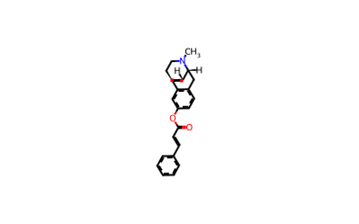 CN1CC[C@]23CCCC[C@H]2[C@H]1Cc1ccc(OC(=O)/C=C/c2ccccc2)cc13